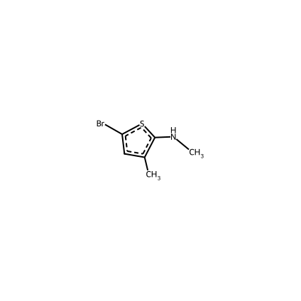 CNc1sc(Br)cc1C